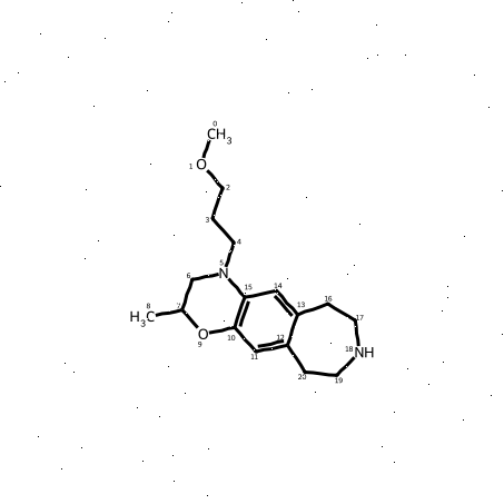 COCCCN1CC(C)Oc2cc3c(cc21)CCNCC3